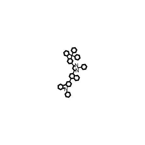 c1ccc(-c2nc(-c3ccc4c(c3)C(c3ccccc3)(c3ccccc3)c3ccccc3-4)cc(-c3ccc(-c4ccc5c(c4)c4ccccc4n5-c4ccccc4)c4ccccc34)n2)cc1